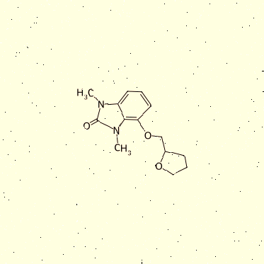 Cn1c(=O)n(C)c2c(OCC3CCCO3)cccc21